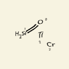 O=[SiH2].[Cr].[Ti]